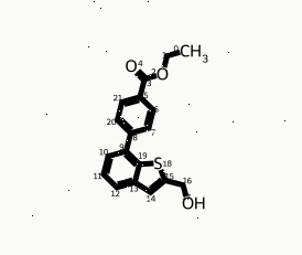 CCOC(=O)c1ccc(-c2cccc3cc(CO)sc23)cc1